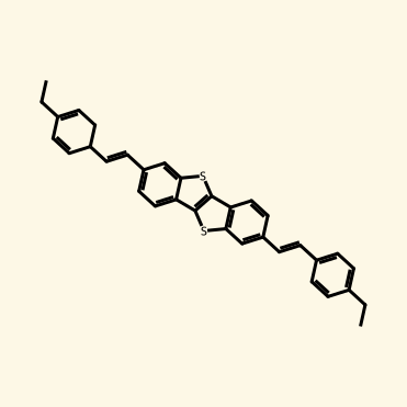 CCC1=CCC(/C=C/c2ccc3c(c2)sc2c4ccc(/C=C/c5ccc(CC)cc5)cc4sc32)C=C1